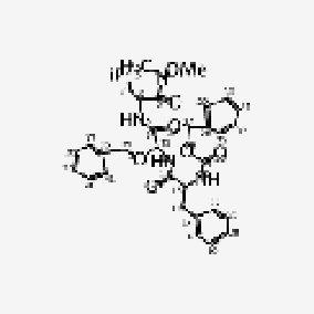 CON(C)C(=O)C(CC(C)C)NC(=O)C(NC(=O)C(Cc1ccccc1)NC(=O)OCc1ccccc1)OCc1ccccc1